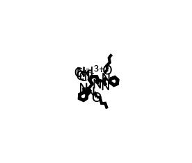 CCCCOCn1c(-c2cccc(-c3nc4ccccc4n3COCCCC)n2)nc2ccccc21.[Cl-].[Cl-].[Cl-].[Nd+3]